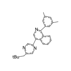 Cc1cc(C)cc(-c2ncc(-c3cnc(CC(C)(C)C)cn3)c3ccccc23)c1